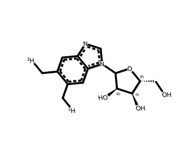 [2H]Cc1cc2ncn(C3O[C@H](CO)[C@@H](O)[C@H]3O)c2cc1C[2H]